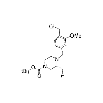 COc1cc(CN2CCN(C(=O)OC(C)(C)C)C[C@H]2CF)ccc1CCl